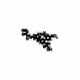 CSc1sc(N=CNC(=O)OC(C)(C)C)cc1S(=O)(=O)c1ccc(NC(=O)CO)c(-c2ccc([N+](=O)[O-])cc2C)c1